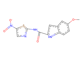 COc1ccc2[nH]c(C(=O)Nc3ncc([N+](=O)[O-])s3)cc2c1